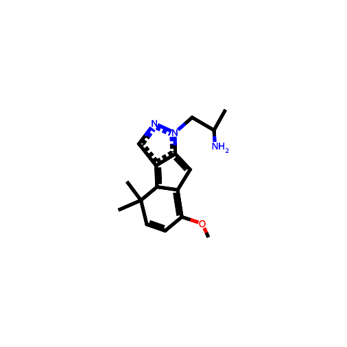 COC1=C2C=c3c(cnn3CC(C)N)=C2C(C)(C)C=C1